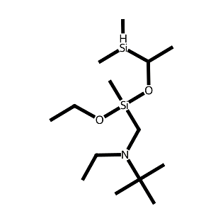 CCO[Si](C)(CN(CC)C(C)(C)C)OC(C)[SiH](C)C